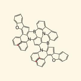 c1ccc(-c2c3c(cc4c2oc2ccccc24)B2c4c(cc5c6c4-n4c7c2cccc7c2cccc(c24)B6c2cc4c(oc6ccccc64)c(-c4ccccc4)c2N5c2ccccc2)N3c2ccccc2)cc1